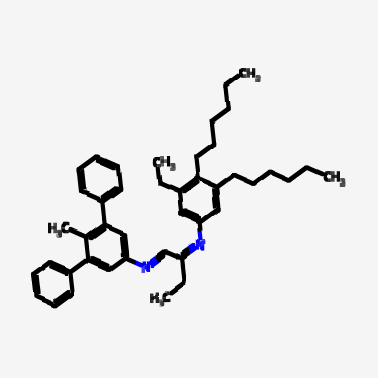 CCCCCCc1cc(N=C(C=Nc2cc(-c3ccccc3)c(C)c(-c3ccccc3)c2)CC)cc(CC)c1CCCCCC